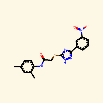 Cc1ccc(NC(=O)CSc2nc(-c3cccc([N+](=O)[O-])c3)n[nH]2)c(C)c1